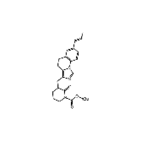 CC=Cc1ccc2c(c1)CCc1c(CC3CCCN(C(=O)OC(C)(C)C)C3=O)ncn1-2